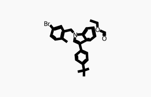 CCOC=O.Cc1ccc(Br)cc1Cn1cc(-c2ccc(C(C)(C)C)cc2)c2ccccc21